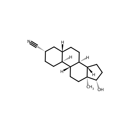 C[C@]12CC[C@H]3[C@@H](CC[C@H]4C[C@@H](C#N)CC[C@@H]43)[C@@H]1CC[C@@H]2O